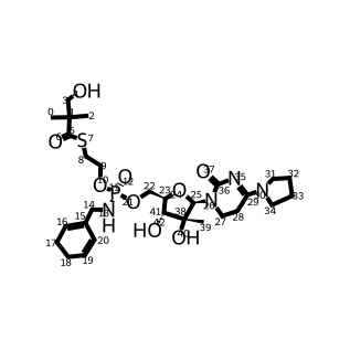 CC(C)(CO)C(=O)SCCOP(=O)(NCC1=CCCC=C1)OC[C@H]1O[C@@H](N2CCC(N3CCCC3)=NC2=O)[C@](C)(O)[C@@H]1O